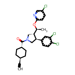 C#C[C@H]1CC[C@H](C(=O)N2C[C@H]([C@H](C)Oc3ccc(Cl)cn3)[C@@H](c3ccc(Cl)c(Cl)c3)C2)CC1